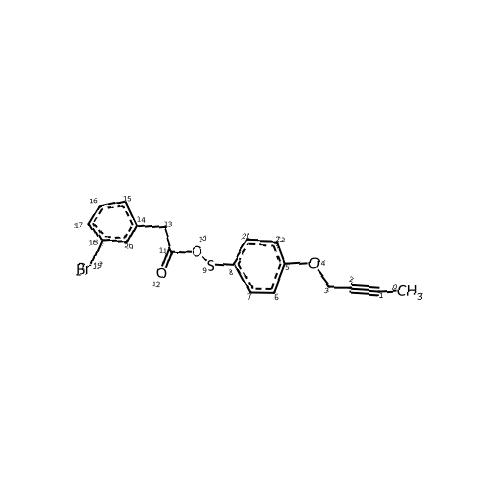 CC#CCOc1ccc(SOC(=O)Cc2cccc(Br)c2)cc1